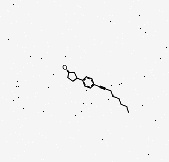 CCCCCCC#Cc1ccc(C2CCC(=O)C2)cc1